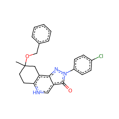 CC1(OCc2ccccc2)CCc2[nH]cc3c(=O)n(-c4ccc(Cl)cc4)nc-3c2C1